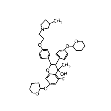 C[C@@H]1CCN(CCOc2ccc(C3Oc4cc(OC5CCCCO5)cc(F)c4C(C)(O)C3c3ccc(OC4CCCCO4)cc3)cc2)C1